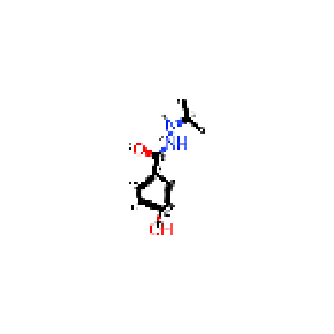 CC(C)=NNC(=O)c1ccc(O)cc1